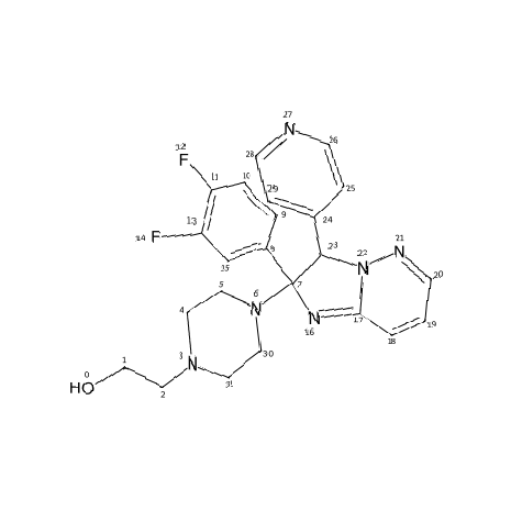 OCCN1CCN(C2(c3ccc(F)c(F)c3)N=C3C=CC=NN3C2c2ccncc2)CC1